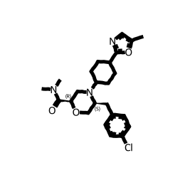 Cc1cnc(C2CCC(N3C[C@H](C(=O)N(C)C)OC[C@@H]3Cc3ccc(Cl)cc3)CC2)o1